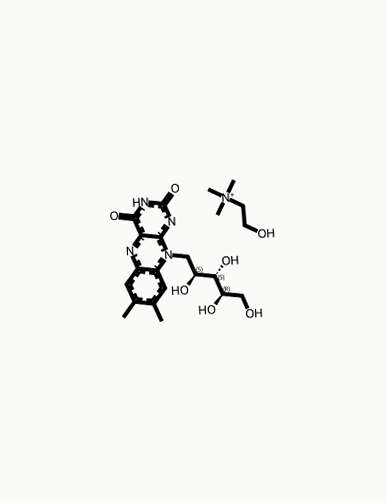 C[N+](C)(C)CCO.Cc1cc2nc3c(=O)[nH]c(=O)nc-3n(C[C@H](O)[C@H](O)[C@H](O)CO)c2cc1C